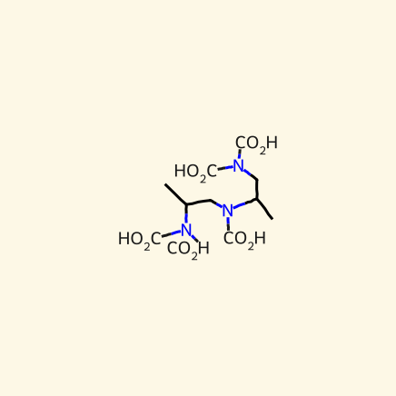 CC(CN(C(=O)O)C(=O)O)N(CC(C)N(C(=O)O)C(=O)O)C(=O)O